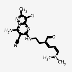 Cc1nn2c(N)c(C#N)c(NCC/C(C=O)=C/C=C\N(C)C)nc2c1Cl